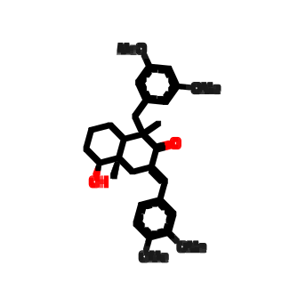 COc1cc(CC2(C)C(=O)C(=Cc3ccc(OC)c(OC)c3)C[C@@]3(C)C2CCC[C@@H]3O)cc(OC)c1